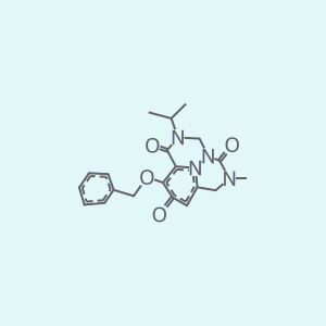 CC(C)N1CN2C(=O)N(C)Cc3cc(=O)c(OCc4ccccc4)c(n32)C1=O